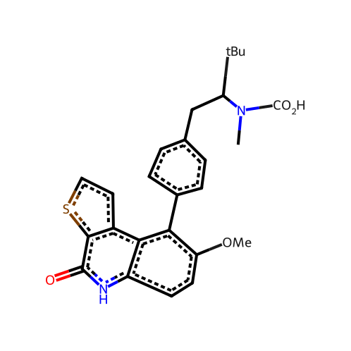 COc1ccc2[nH]c(=O)c3sccc3c2c1-c1ccc(CC(N(C)C(=O)O)C(C)(C)C)cc1